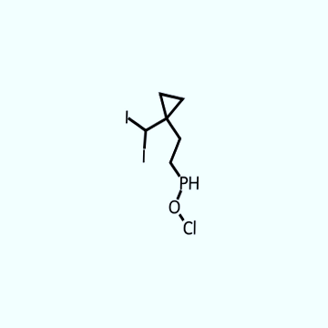 ClOPCCC1(C(I)I)CC1